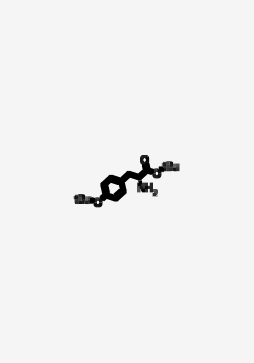 CC(C)(C)OC(=O)[C@H](N)Cc1ccc(OC(C)(C)C)cc1